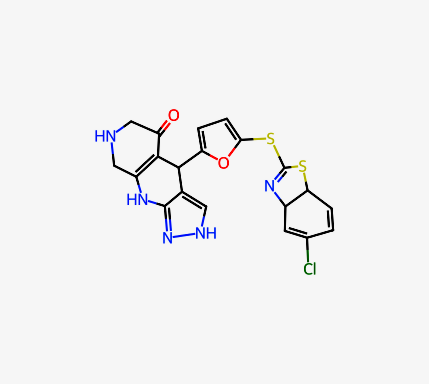 O=C1CNCC2=C1C(c1ccc(SC3=NC4C=C(Cl)C=CC4S3)o1)c1c[nH]nc1N2